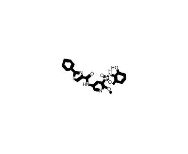 COc1ncc(NC(=O)c2csc(-c3ccccc3)n2)cc1S(=O)(=O)Nc1c(C)cccc1O